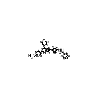 Nc1ncc(-c2nc(N3CCOCC3)c3sc(-c4ccc(NCCN5CCOCC5)cc4)cc3n2)cn1